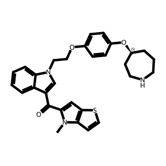 Cn1c(C(=O)c2cn(CCOc3ccc(O[C@H]4CCCNCC4)cc3)c3ccccc23)cc2sccc21